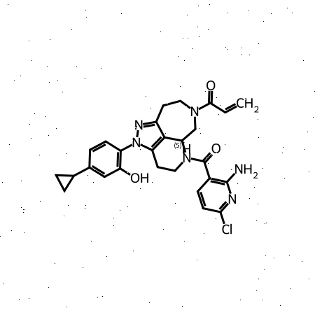 C=CC(=O)N1CCc2nn(-c3ccc(C4CC4)cc3O)c3c2[C@@H](C1)N(C(=O)c1ccc(Cl)nc1N)CC3